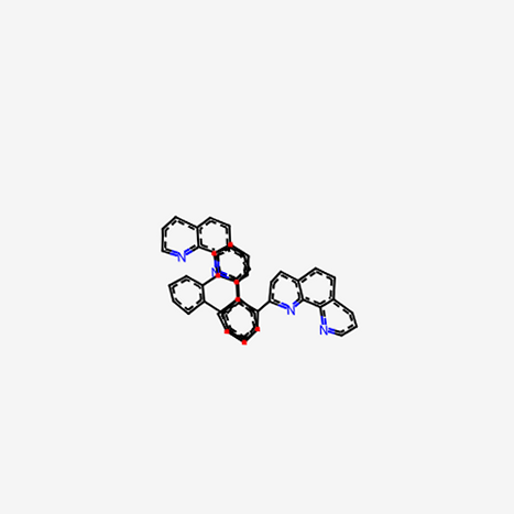 c1ccc(-c2ccccc2-c2ccccc2-c2ccccc2-c2ccc3ccc4cccnc4c3n2)c(-c2ccc3ccc4cccnc4c3n2)c1